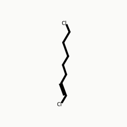 ClC=CCCCCCCl